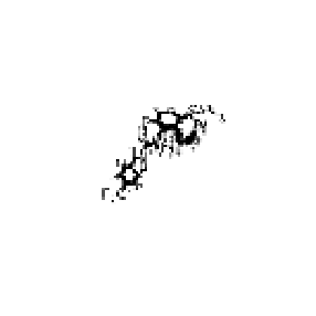 Cc1nccc2c(NC(=O)NCc3ccc(C(F)(F)F)cc3)c(F)ccc12